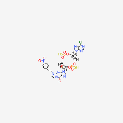 O=C1C2N=CN([C@@H]3O[C@@H]4COP(=O)(S)OC[C@@H]5[C@@H](COP(=O)(S)O[C@@H]3[C@@H]4F)C[C@H]5n3cnc4c(Cl)ncnc43)C2N=C2N(CCc3ccc([N+](=O)[O-])cc3)C=CN12